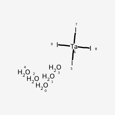 O.O.O.O.O.[I][Ta]([I])([I])[I]